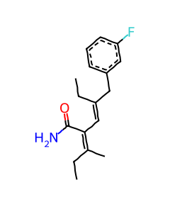 CC/C(C)=C(/C=C(\CC)Cc1cccc(F)c1)C(N)=O